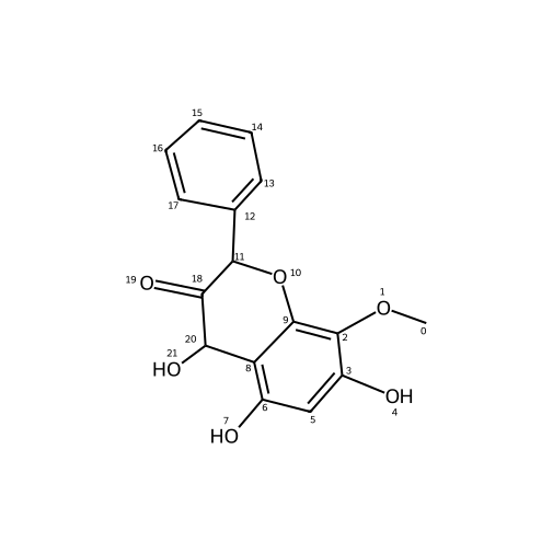 COc1c(O)cc(O)c2c1OC(c1ccccc1)C(=O)C2O